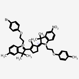 Cc1ccc(OCCN2/C(=C3\CCC(C4=[N+](CCOc5ccc(Br)cc5)c5ccc(C)cc5C4(C)C)=C3Cl)C(C)(C)c3cc([N+](=O)[O-])ccc32)cc1